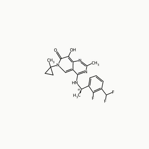 Cc1nc(N[C@H](C)c2cccc(C(F)F)c2F)c2cn(C3(C)CC3)c(=O)c(O)c2n1